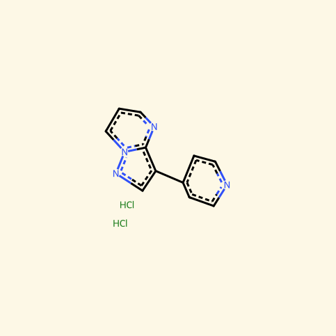 Cl.Cl.c1cnc2c(-c3ccncc3)cnn2c1